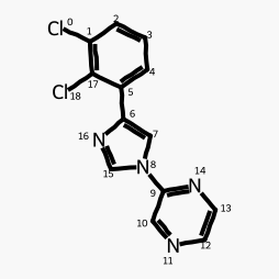 Clc1cccc(-c2cn(-c3cnccn3)cn2)c1Cl